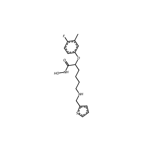 Cc1cc(OC(CCCCNCc2cccs2)C(=O)NO)ccc1F